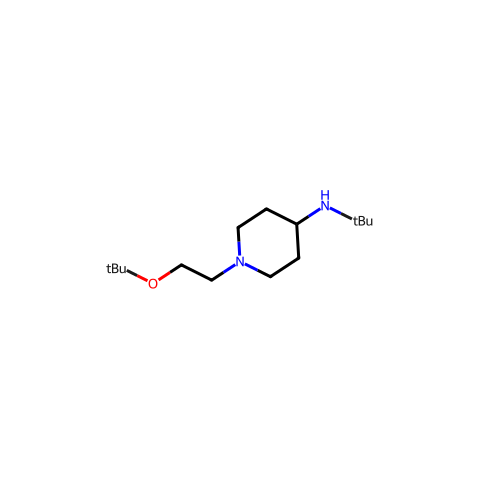 CC(C)(C)NC1CCN(CCOC(C)(C)C)CC1